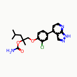 CC(C)CC(C)(COc1ccc(-c2ccnc3[nH]ncc23)cc1Cl)OC(N)=O